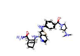 CN(C)[C@@H]1CCN(C(=O)c2ccc(Nc3cc4c(NC5C6C=CC(C6)C5C(N)=O)nccc4s3)cc2)C1